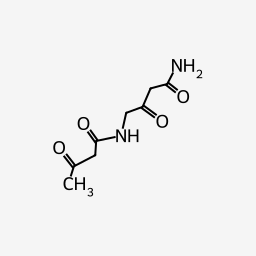 CC(=O)CC(=O)NCC(=O)CC(N)=O